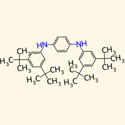 CC(C)(C)c1cc(Nc2ccc(Nc3cc(C(C)(C)C)cc(C(C)(C)C)c3)cc2)cc(C(C)(C)C)c1